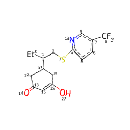 CCC(CSc1ccc(C(F)(F)F)cn1)C1CC(=O)C=C(O)C1